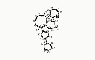 Cc1ccccc(C)c(-c2ccc(-c3ccccc3)cc2)c2c(c1C1=CCC=CN=C1)C=CC(C)C=C2